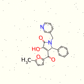 Cc1ccc(C(=O)C2=C(O)C(=O)N(Cc3cccnc3)C2c2ccccc2)o1